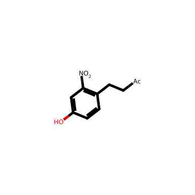 CC(=O)CCc1ccc(O)cc1[N+](=O)[O-]